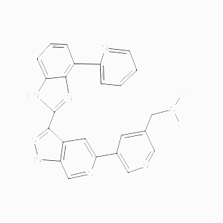 CN(C)Cc1cncc(-c2cc3c(-c4nc5c(-c6ccccn6)cccc5[nH]4)n[nH]c3cn2)c1